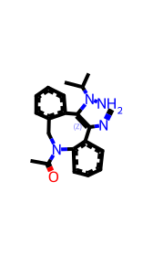 C=N/C1=C(\N(N)C(C)C)c2ccccc2CN(C(C)=O)c2ccccc21